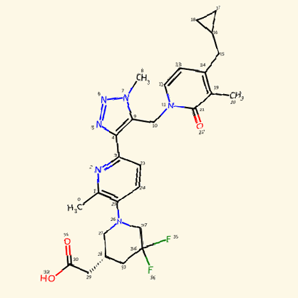 Cc1nc(-c2nnn(C)c2Cn2ccc(CC3CC3)c(C)c2=O)ccc1N1C[C@@H](CC(=O)O)CC(F)(F)C1